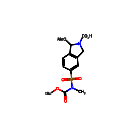 COC1c2ccc(S(=O)(=O)N(C)C(=O)OC(C)(C)C)cc2CN1C(=O)O